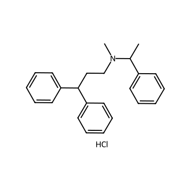 CC(c1ccccc1)N(C)CCC(c1ccccc1)c1ccccc1.Cl